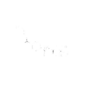 CCCOC(=O)[C@H]1CC[C@@H](C(CO)NC(=O)OC(C)(C)C)CC1